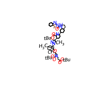 Cc1c(-c2ccc(-c3ccc4c(c3)N(C(=O)Nc3nc5ccccc5s3)CCC4)nc2C(=O)OC(C)(C)C)cnn1CC12CC3(C)CC(C)(C1)CC(OCCN(CCC(=O)OC(C)(C)C)C(=O)OC(C)(C)C)(C3)C2